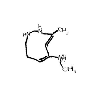 CNC1=C/CCNN\C(C)=C\1